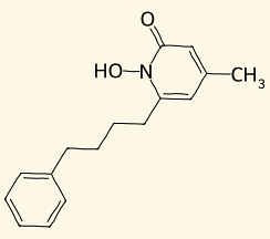 Cc1cc(CCCCc2ccccc2)n(O)c(=O)c1